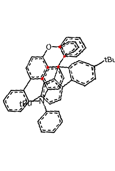 CC(C)(C)c1ccc2c(c1)C1(c3ccccc3Oc3ccc(-c4ccccc4N(c4ccccc4)c4ccc(-c5ccccc5)cc4)cc31)c1cc(C(C)(C)C)ccc1-2